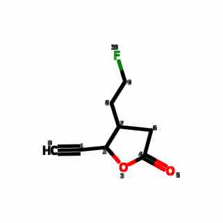 C#CC1OC(=O)CC1CCF